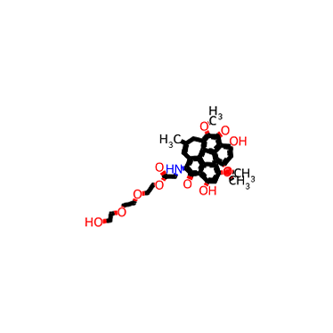 COc1c2c3c4c(c(NCC(=O)OCCOCCOCCO)c(=O)c5c(O)cc(OC)c(c6c(OC)cc(O)c(c1=O)c63)c54)C=C(C)C2